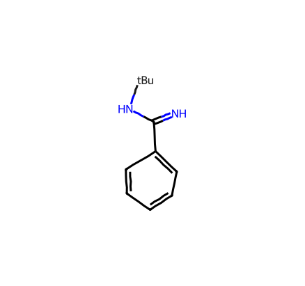 CC(C)(C)NC(=N)c1ccccc1